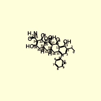 CCc1cc(-c2ccccn2)c2c(c1O)C(=O)C1=C(O)[C@]3(O)C(=O)C(C(N)=O)=C(O)C[C@@H]3C[C@@H]1C2